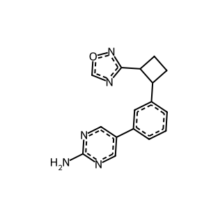 Nc1ncc(-c2cccc(C3CCC3c3ncon3)c2)cn1